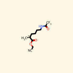 C[C@@H](CCCCNC(=O)C(F)(F)F)C(=O)OCC#N